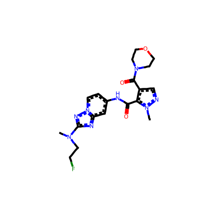 CN(CCF)c1nc2cc(NC(=O)c3c(C(=O)N4CCOCC4)cnn3C)ccn2n1